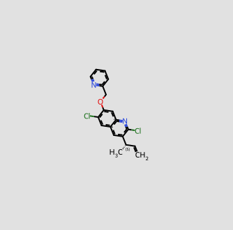 C=C[C@H](C)c1cc2cc(Cl)c(OCc3ccccn3)cc2nc1Cl